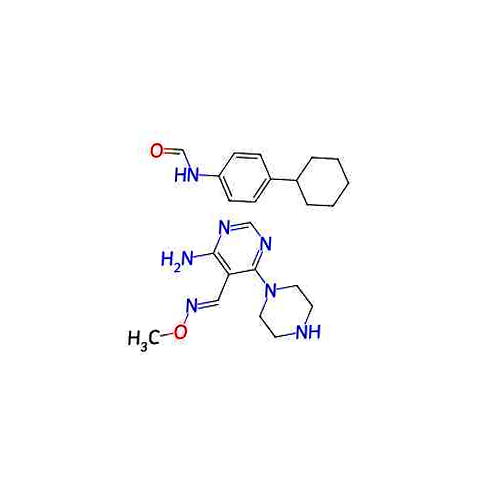 CON=Cc1c(N)ncnc1N1CCNCC1.O=CNc1ccc(C2CCCCC2)cc1